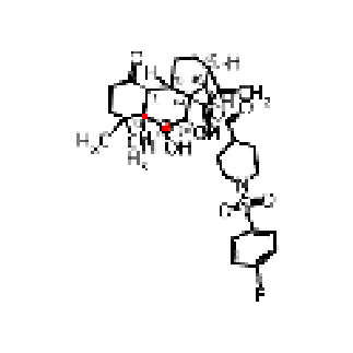 C=C1C(=O)[C@]23[C@H](OC(=O)C4CCN(S(=O)(=O)c5ccc(F)cc5)CC4)[C@H]1CC[C@H]2[C@@]12CO[C@@]3(O)[C@@H](O)[C@@H]1C(C)(C)CCC2=O